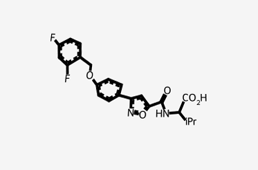 CC(C)C(NC(=O)c1cc(-c2ccc(OCc3ccc(F)cc3F)cc2)no1)C(=O)O